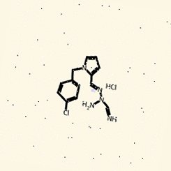 Cl.N=CN(N)/N=C/c1cccn1Cc1ccc(Cl)cc1